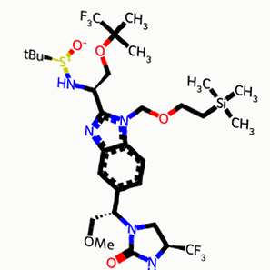 COC[C@H](c1ccc2c(c1)nc([C@H](COC(C)(C)C(F)(F)F)N[S@+]([O-])C(C)(C)C)n2COCC[Si](C)(C)C)N1C[C@@H](C(F)(F)F)NC1=O